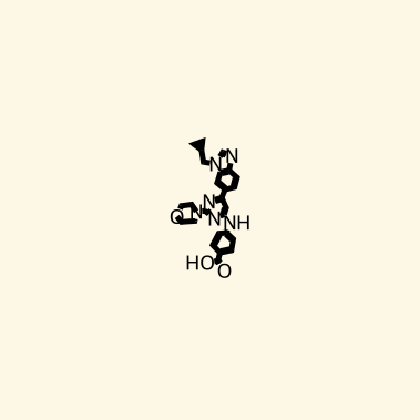 O=C(O)c1ccc(Nc2cc(-c3ccc4ncn(CC5CC5)c4c3)nc(N3CCOCC3)n2)cc1